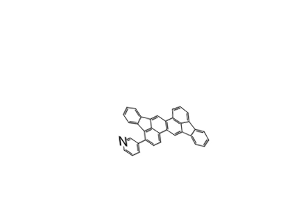 c1cncc(-c2ccc3c4cc5c6ccccc6c6cccc(c4cc4c7ccccc7c2c34)c65)c1